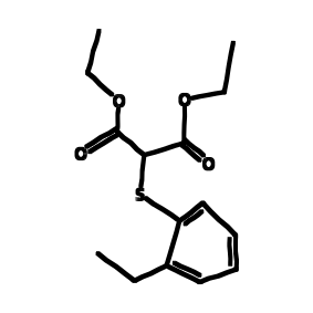 CCOC(=O)C(Sc1ccccc1CC)C(=O)OCC